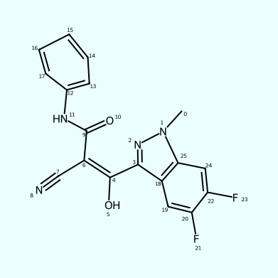 Cn1nc(C(O)=C(C#N)C(=O)Nc2ccccc2)c2cc(F)c(F)cc21